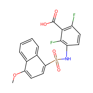 COc1ccc(S(=O)(=O)Nc2ccc(F)c(C(=O)O)c2F)c2ccccc12